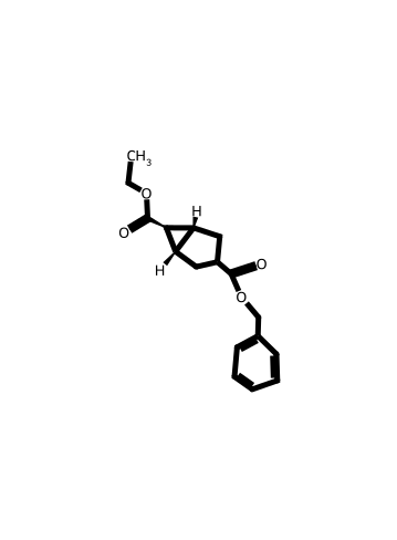 CCOC(=O)[C@H]1[C@@H]2CC(C(=O)OCc3ccccc3)C[C@@H]21